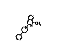 Cc1nc(N2CCC(c3ccccc3)CC2)cc2ccsc12